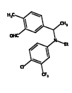 CCN(c1ccc(Cl)c(C(F)(F)F)c1)C(C)c1ccc(C)c(C=O)c1